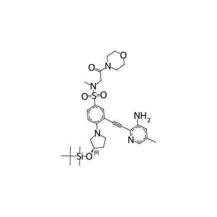 Cc1cnc(C#Cc2cc(S(=O)(=O)N(C)CC(=O)N3CCOCC3)ccc2N2CC[C@@H](O[Si](C)(C)C(C)(C)C)C2)c(N)c1